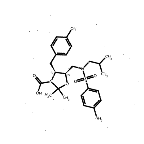 CC(C)CN(C[C@H]1OC(C)(C)N(C(=O)O)[C@H]1Cc1ccc(O)cc1)S(=O)(=O)c1ccc(N)cc1